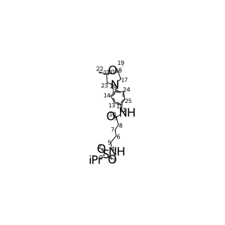 CC(C)S(=O)(=O)NCCCCC(=O)Nc1ccc(N2C[C@@H](C)O[C@H](C)C2)cc1